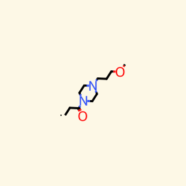 [CH2]CC(=O)N1CCN(CCCOC)CC1